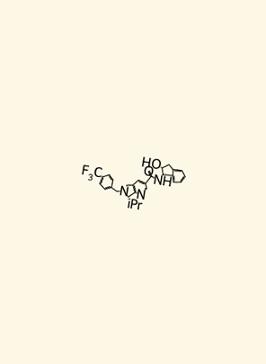 CC(C)[C@H]1c2ncc(C(=O)N[C@@H]3c4ccccc4C[C@H]3O)cc2CN1Cc1ccc(C(F)(F)F)cc1